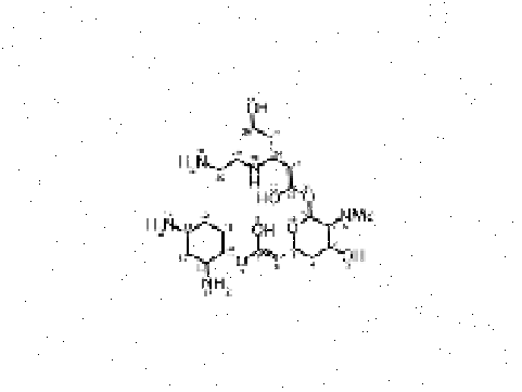 CNC1C(O)C[C@H](/C=C(\O)O[C@H]2CC[C@H](N)CC2N)OC1O/C(O)=C/[C@@H](CCO)NCCN